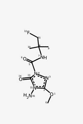 COc1nn(C(=O)NC(C)(C)CF)c(=O)n1N